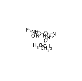 C[Si](C)(C)CCOCn1c2ccncc2c2ccc(-c3ccc(C(=O)NCCF)nc3)nc21